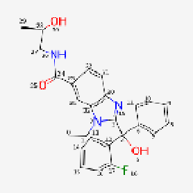 CCn1c(C(O)(c2ccccc2)c2ccccc2F)nc2ccc(C(=O)NC[C@@H](C)O)cc21